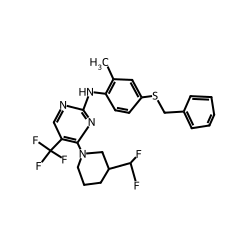 Cc1cc(SCc2ccccc2)ccc1Nc1ncc(C(F)(F)F)c(N2CCCC(C(F)F)C2)n1